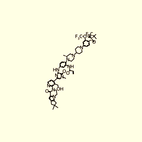 C=CC(=O)Nc1cc(Nc2nc(-c3ccnc(N4CCn5c(cc6c5CC(C)(C)C6)C4=O)c3CO)cn(C)c2=O)ccc1N1CCN(C2CCN(c3ccc(S(=O)(=O)C(C)(C)C(F)(F)F)c(OC(F)(F)F)c3)CC2)C[C@@H]1C